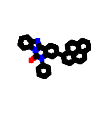 O=c1n(-c2ccccc2)c2cc(-c3ccc4ccc5cccc6ccc3c4c56)ccc2c2nc3ccccc3n12